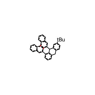 CC(C)(C)c1ccc2c(c1)C(c1ccc3ccccc3c1)c1c(cccc1-c1ccc3ccccc3c1)C2